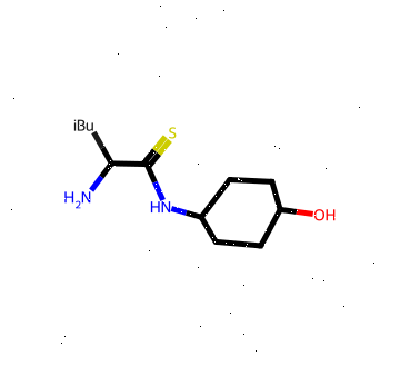 CCC(C)C(N)C(=S)NC1CCC(O)CC1